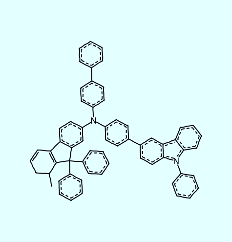 CC1CC=CC2=C1C(c1ccccc1)(c1ccccc1)c1cc(N(c3ccc(-c4ccccc4)cc3)c3ccc(-c4ccc5c(c4)c4ccccc4n5-c4ccccc4)cc3)ccc12